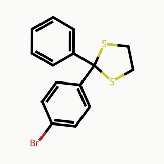 Brc1ccc(C2(c3ccccc3)SCCS2)cc1